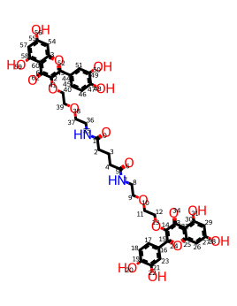 O=C(CCCC(=O)NCCOCCOc1c(-c2ccc(O)c(O)c2)oc2cc(O)cc(O)c2c1=O)NCCOCCOc1c(-c2ccc(O)c(O)c2)oc2cc(O)cc(O)c2c1=O